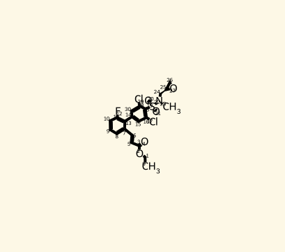 CCOC(=O)C=Cc1cccc(F)c1-c1cc(Cl)c(S(=O)(=O)N(C)C[C@H]2CO2)c(Cl)c1